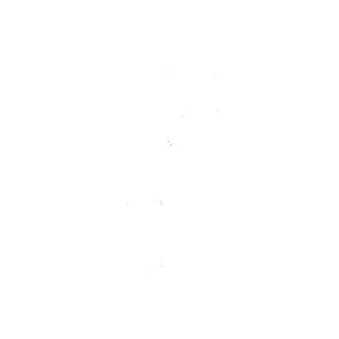 [O-]/[P+](=C\c1ccccc1O)ONCCNO/[P+]([O-])=C/c1ccccc1O